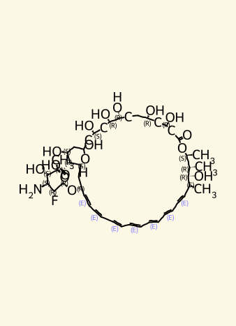 C[C@@H]1[C@H](O)[C@@H](C)/C=C/C=C/C=C/C=C/C=C/C=C/C=C/[C@H](O[C@@H]2O[C@H](C)[C@@H](O)[C@H](N)[C@H]2F)C[C@@H]2OC(O)(C[C@@H](O)C[C@@H](O)[C@H](O)CC[C@@H](O)C[C@@H](O)CC(=O)O[C@H]1C)C[C@H](O)[C@H]2C(=O)O